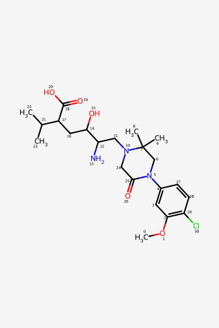 COc1cc(N2CC(C)(C)N(CC(N)C(O)CC(C(=O)O)C(C)C)CC2=O)ccc1Cl